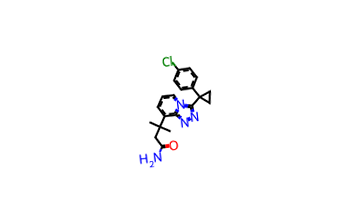 CC(C)(CC(N)=O)c1cccn2c(C3(c4ccc(Cl)cc4)CC3)nnc12